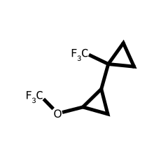 FC(F)(F)O[C]1CC1C1(C(F)(F)F)CC1